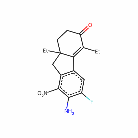 CCC1=C2c3cc(F)c(N)c([N+](=O)[O-])c3CC2(CC)CCC1=O